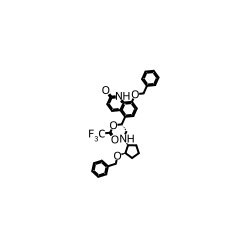 O=C(O[C@@H](CN[C@@H]1CCC[C@H]1OCc1ccccc1)c1ccc(OCc2ccccc2)c2[nH]c(=O)ccc12)C(F)(F)F